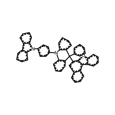 c1ccc(C2(c3cc4ccccc4c4c3oc3ccccc34)c3ccccc3N(c3ccc(-n4c5ccccc5c5ccccc54)cc3)c3ccccc32)cc1